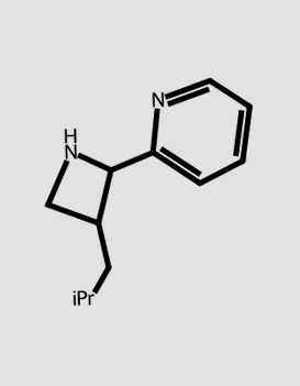 CC(C)CC1CNC1c1ccccn1